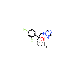 OC(Cn1cncn1)(CC(Cl)(Cl)Cl)c1ccc(F)cc1F